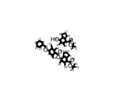 Cc1c(C)c(C(=O)OC(C)(C)C)c2c(c1O)CCC2.Cc1cc(OCc2ccccc2)c(C)c(C)c1C(=O)Oc1c(C)c(C)c(C(=O)OC(C)(C)C)c2c1CCC2